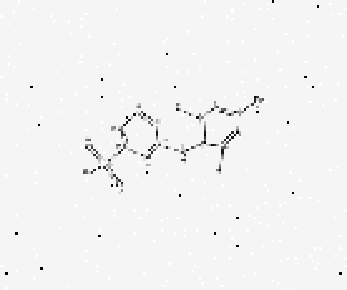 Cc1cc(Br)cc(C)c1Nc1ccnc(S(C)(=O)=O)n1